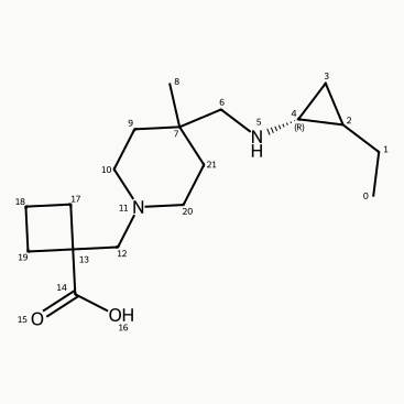 CCC1C[C@H]1NCC1(C)CCN(CC2(C(=O)O)CCC2)CC1